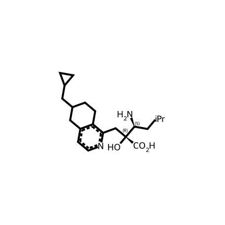 CC(C)C[C@H](N)[C@](O)(Cc1nccc2c1CCC(CC1CC1)C2)C(=O)O